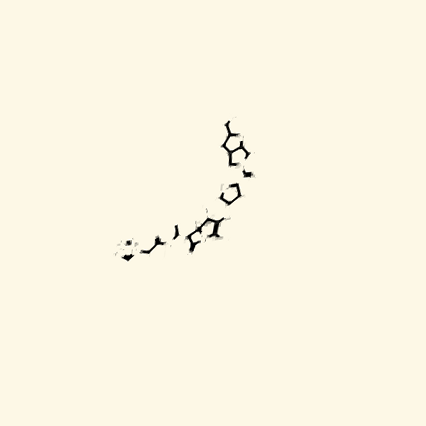 CC(NC(=O)Cn1cnnn1)[C@H]1C(=O)N2C(C(=O)O)=C(S[C@@H]3CN[C@H](C(=O)N4CC5CC(CO)NC5C4)C3)[C@H](C)[C@H]12